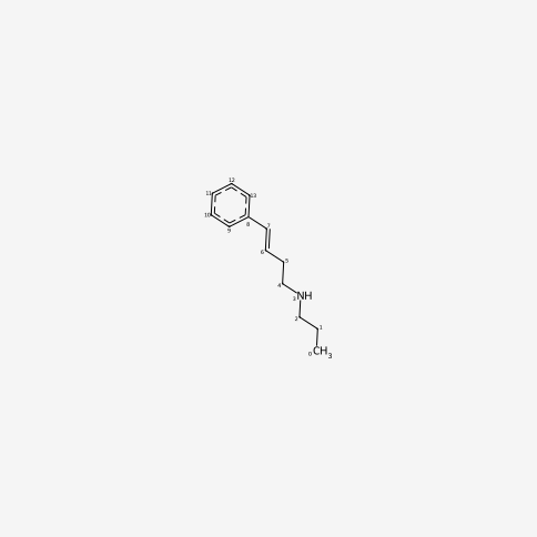 CCCNCCC=Cc1ccccc1